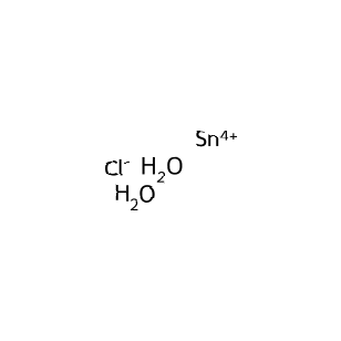 O.O.[Cl-].[Sn+4]